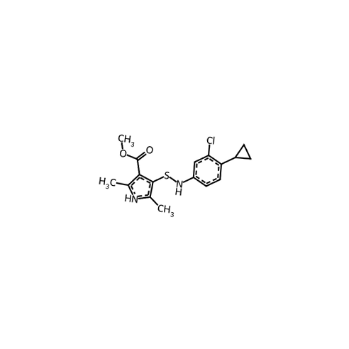 COC(=O)c1c(C)[nH]c(C)c1SNc1ccc(C2CC2)c(Cl)c1